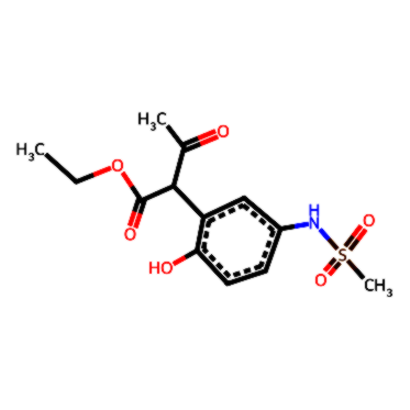 CCOC(=O)C(C(C)=O)c1cc(NS(C)(=O)=O)ccc1O